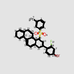 CC(C)c1cccc(S(=O)(=O)C2CC(c3ccc(Br)cc3F)Cc3ccc4c(ccc5ccccc54)c32)c1